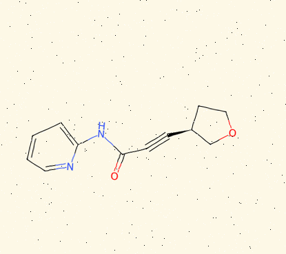 O=C(C#C[C@H]1CCOC1)Nc1ccccn1